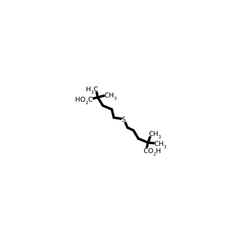 CC(C)(CCCSCCCC(C)(C)C(=O)O)C(=O)O